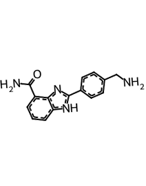 NCc1ccc(-c2nc3c(C(N)=O)cccc3[nH]2)cc1